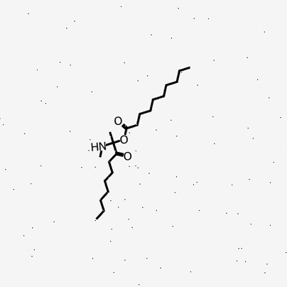 CCCCCCCCCC(=O)OC(C)(NC)C(=O)CCCCCCC